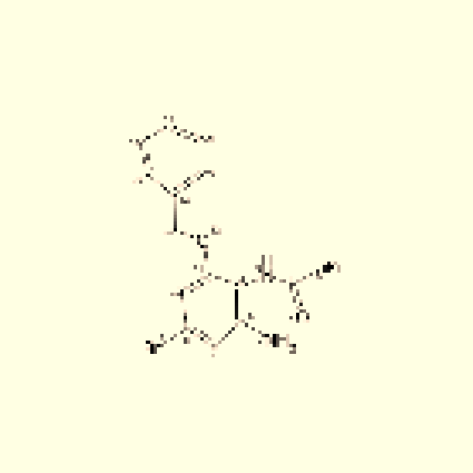 CC(C)C(=O)Nc1c(N)cc(Br)cc1OCc1ccccc1